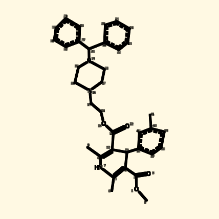 COC(=O)C1=C(C)NC(C)=C(C(=O)OCCN2CCN(C(c3ccccc3)c3ccccc3)CC2)C1c1cccc(C)c1